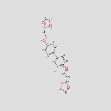 Fc1cc(-c2ccc(OCCC3OCCO3)cc2)ccc1OCCC1OCCO1